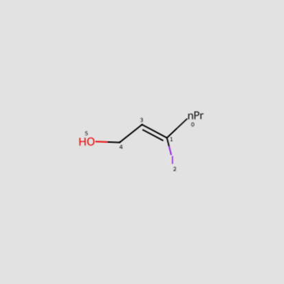 CCCC(I)=CCO